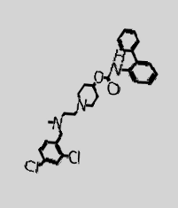 CN(CCN1CCC(OC(=O)Nc2ccccc2-c2ccccc2)CC1)Cc1ccc(Cl)cc1Cl